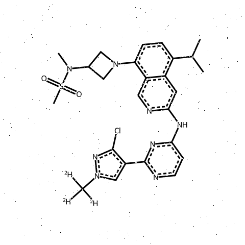 [2H]C([2H])([2H])n1cc(-c2nccc(Nc3cc4c(C(C)C)ccc(N5CC(N(C)S(C)(=O)=O)C5)c4cn3)n2)c(Cl)n1